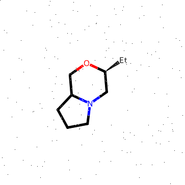 CC[C@H]1CN2CCCC2CO1